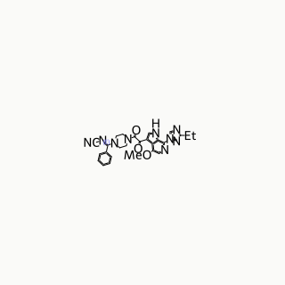 CCc1ncn(-c2ncc(OC)c3c(C(=O)C(=O)N4CCN(/C(=N/C#N)c5ccccc5)CC4)c[nH]c23)n1